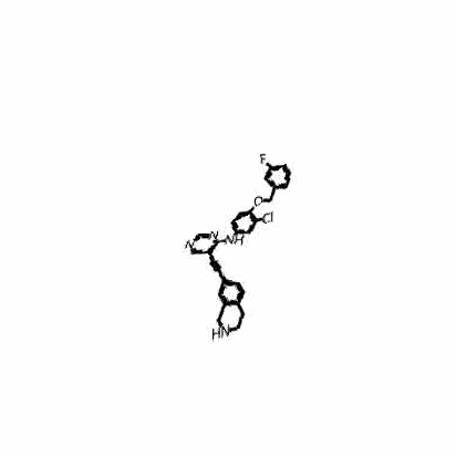 Fc1cccc(COc2ccc(Nc3ncncc3C#Cc3ccc4c(c3)CNCC4)cc2Cl)c1